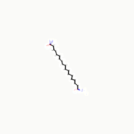 NC(=O)CCCCCCCCCCCCCCCCCC(N)=O